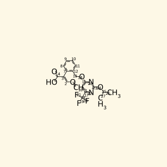 CO/C=C(/C(=O)O)c1ccccc1COc1cc(C(F)(F)F)nc(OC(C)C)n1